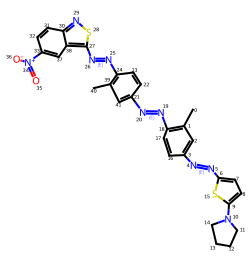 Cc1cc(/N=N/c2ccc(N3CCCC3)s2)ccc1/N=N/c1ccc(/N=N/c2snc3ccc([N+](=O)[O-])cc23)c(C)c1